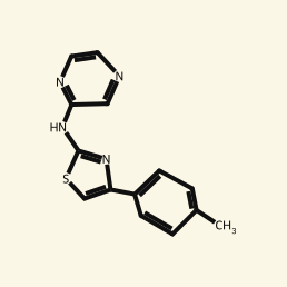 Cc1ccc(-c2csc(Nc3cnccn3)n2)cc1